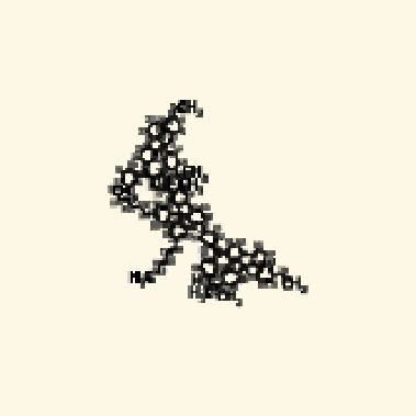 C=Cc1ccc(CC2(c3ccc(C(C)(C)C)cc3)c3ccccc3-c3ccc(N(c4ccccc4)c4ccc(C5=CC6C(C=C5)c5ccc(-c7ccc(N(c8ccccc8)c8ccc9c(c8)C(Cc8ccc(C=C)cc8)(c8ccc(C(C)(C)C)cc8)c8ccccc8-9)cc7)cc5C6(c5ccc(CCCCCC)cc5)c5ccc(CCCCCC)cc5)cc4)cc32)cc1